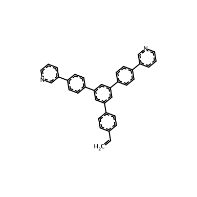 C=Cc1ccc(-c2cc(-c3ccc(-c4cccnc4)cc3)cc(-c3ccc(-c4cccnc4)cc3)c2)cc1